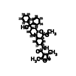 COC(=O)c1cc(NC(=O)c2c(C)noc2C)ccc1N1CCC(C(O)(c2ccccc2)c2ccccc2)CC1